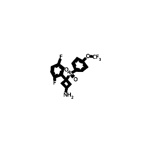 NC1CC(c2cc(F)ccc2F)(S(=O)(=O)c2ccc(OC(F)(F)F)cc2)C1